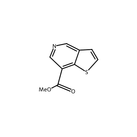 COC(=O)c1cncc2ccsc12